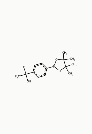 CC1(C)OB(c2ccc(C(O)(F)C(F)(F)F)cc2)OC1(C)C